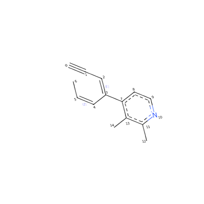 C#C/C=C(\C=C/C)c1ccnc(C)c1C